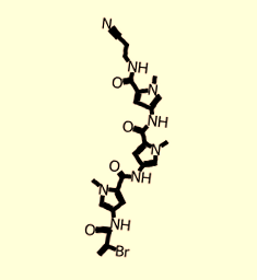 C=C(Br)C(=O)Nc1cc(C(=O)Nc2cc(C(=O)Nc3cc(C(=O)NCCC#N)n(C)c3)n(C)c2)n(C)c1